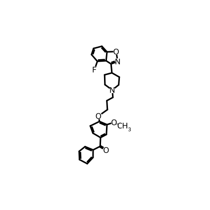 COc1cc(C(=O)c2ccccc2)ccc1OCCCN1CCC(c2noc3cccc(F)c23)CC1